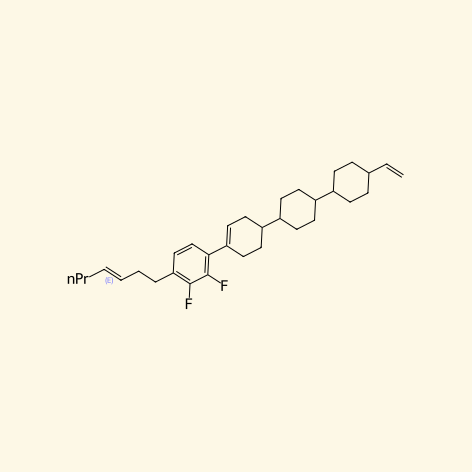 C=CC1CCC(C2CCC(C3CC=C(c4ccc(CC/C=C/CCC)c(F)c4F)CC3)CC2)CC1